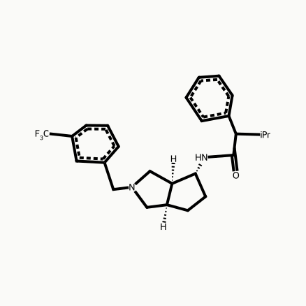 CC(C)C(C(=O)N[C@@H]1CC[C@H]2CN(Cc3cccc(C(F)(F)F)c3)C[C@H]21)c1ccccc1